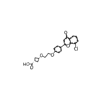 O=c1cc(-c2ccc(OCCO[C@H]3C[C@@H](C(=O)O)C3)cc2)oc2c(Cl)cccc12